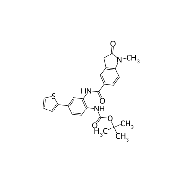 CN1C(=O)Cc2cc(C(=O)Nc3cc(-c4cccs4)ccc3NC(=O)OC(C)(C)C)ccc21